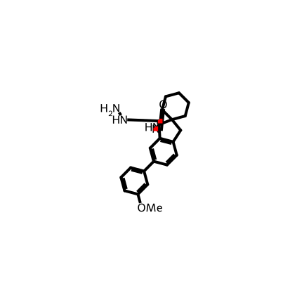 COc1cccc(-c2ccc3c(c2)C2(N=C(NN)NC2=O)C2(CCCCC2)C3)c1